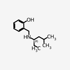 CC[C@H](CC(C)C)NCc1ccccc1O